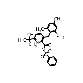 Cc1cc(C)c(Cc2ccc(C(C)(C)C)nc2C(=O)NS(=O)(=O)c2ccccc2)c(C)c1